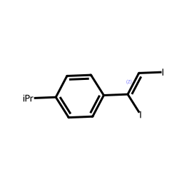 CC(C)c1ccc(/C(I)=C/I)cc1